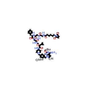 CCCCOc1nc(N)c2cc(C#N)n(Cc3ccc(CN4CCC(NC(=O)[C@@H](OCNC(=O)CNC(=O)[C@H](Cc5ccccc5)NC(=O)CNC(=O)CNC(=O)CCCCCN5C(=O)C=CC5=O)C5CC5)CC4)cc3OC)c2n1